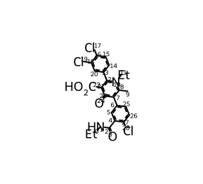 CCNC(=O)c1cc(-c2c(C)n(CC)c(-c3ccc(Cl)c(Cl)c3)c(C(=O)O)c2=O)ccc1Cl